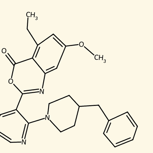 CCc1cc(OC)cc2nc(-c3cccnc3N3CCC(Cc4ccccc4)CC3)oc(=O)c12